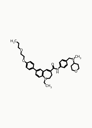 CCCOCCOc1ccc(-c2ccc3c(c2)C=C(C(=O)Nc2ccc(CN(C)C4CCOCC4)cc2)CCN3CC)cc1